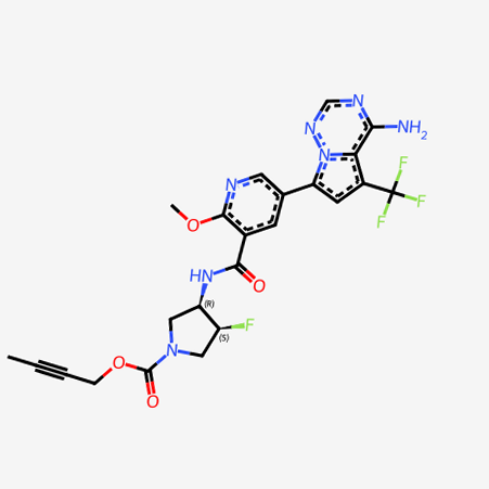 CC#CCOC(=O)N1C[C@H](F)[C@H](NC(=O)c2cc(-c3cc(C(F)(F)F)c4c(N)ncnn34)cnc2OC)C1